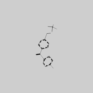 O=C(c1ccc(Cl)cc1)c1ccc(CSC(Cl)(Cl)Cl)cc1